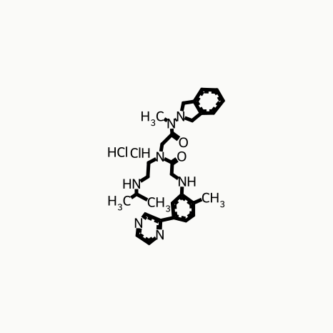 Cc1ccc(-c2cnccn2)cc1NCC(=O)N(CCNC(C)C)CC(=O)N(C)N1Cc2ccccc2C1.Cl.Cl